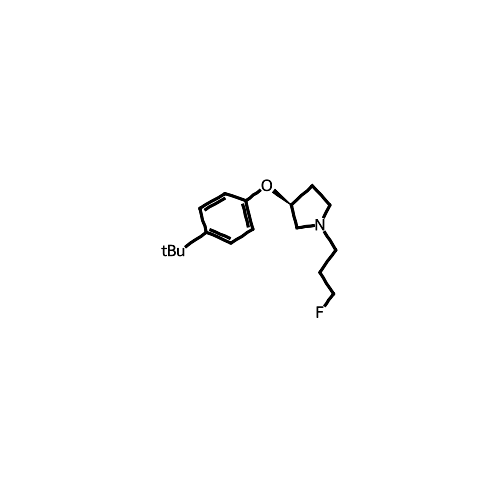 CC(C)(C)c1ccc(O[C@H]2CCN(CCCF)C2)cc1